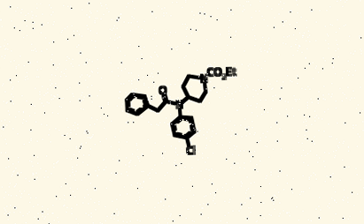 CCOC(=O)N1CCC(N(C(=O)Cc2ccccc2)c2ccc(Cl)cc2)CC1